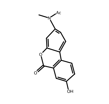 CC(=O)N(C)c1ccc2c(c1)oc(=O)c1cc(O)ccc12